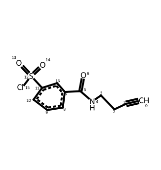 C#CCCNC(=O)c1cccc(S(=O)(=O)Cl)c1